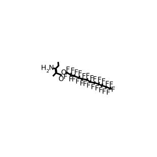 CCC(N)=C(C)C(=O)OC(F)(F)C(F)(F)C(F)(F)C(F)(F)C(F)(F)C(F)(F)C(F)(F)C(F)(F)C(F)(F)C(F)(F)C(F)(F)C(F)(F)F